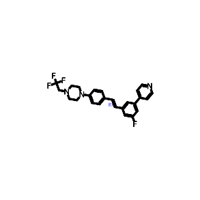 Fc1cc(/C=C/c2ccc(N3CCN(CC(F)(F)F)CC3)cc2)cc(-c2ccncc2)c1